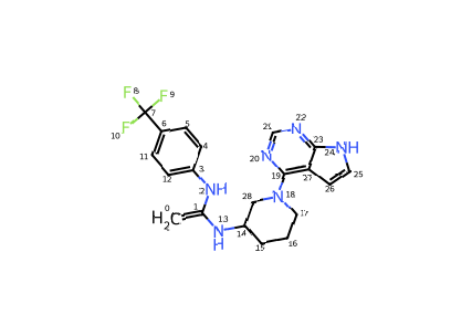 C=C(Nc1ccc(C(F)(F)F)cc1)NC1CCCN(c2ncnc3[nH]ccc23)C1